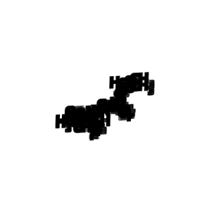 CC(C)(C)OC(=O)N1CC[C@H](Oc2ccc(NC(=O)c3cnc(OC4CCN(C(=O)O)[C@H]4C(C)(C)C)c(-c4ccc(F)c(F)c4)c3)cc2-c2ccc(F)cc2)C1